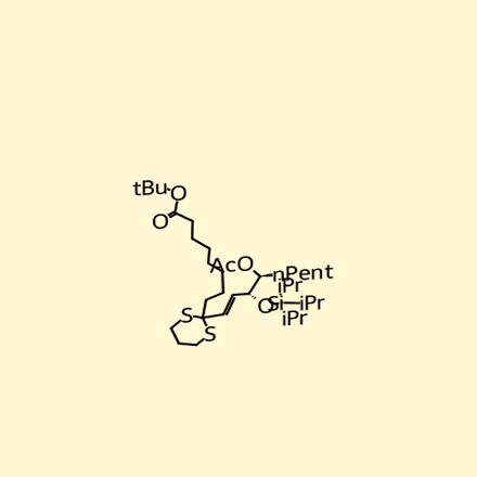 CCCCC[C@H](OC(C)=O)[C@@H](/C=C/C1(CCCCCCCC(=O)OC(C)(C)C)SCCCS1)O[Si](C(C)C)(C(C)C)C(C)C